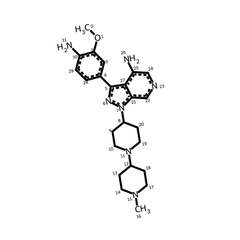 COc1cc(-c2nn(C3CCN(C4CCN(C)CC4)CC3)c3cncc(N)c23)ccc1N